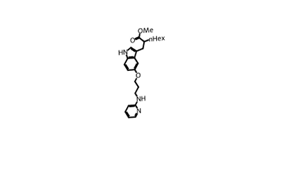 CCCCCCC(Cc1c[nH]c2ccc(OCCCNc3ccccn3)cc12)C(=O)OC